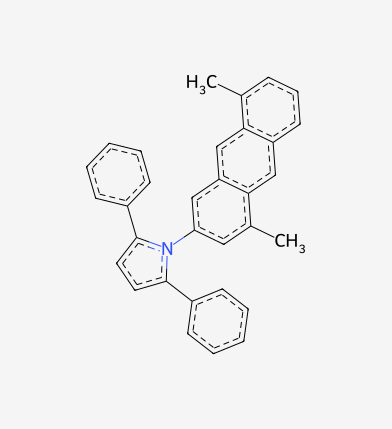 Cc1cccc2cc3c(C)cc(-n4c(-c5ccccc5)ccc4-c4ccccc4)cc3cc12